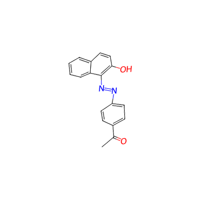 CC(=O)c1ccc(N=Nc2c(O)ccc3ccccc23)cc1